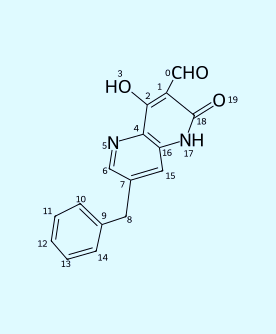 O=Cc1c(O)c2ncc(Cc3ccccc3)cc2[nH]c1=O